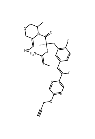 C#CCOc1cnc(/C(F)=C/c2cnc(F)c(C[C@@](C)(S/C(N)=N\C)C(=O)N3/C(=C/O)COCC3C)c2)cn1